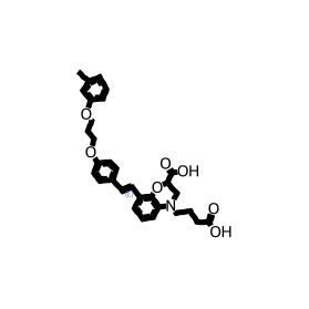 Cc1cccc(OCCCOc2ccc(/C=C/c3cccc4c3OC(C(=O)O)CN4CCCC(=O)O)cc2)c1